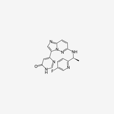 C[C@H](Nc1ccc2ncc(-c3cc(=O)[nH]cn3)n2n1)c1ccc(F)cn1